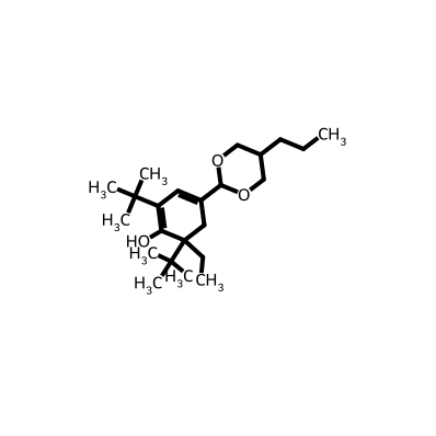 CCCC1COC(C2=CC(C(C)(C)C)=C(O)C(CC)(C(C)(C)C)C2)OC1